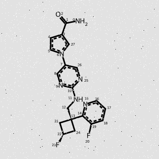 NC(=O)c1ccn(-c2cnc(NC[C@]3(c4ncccc4F)C[C@H](F)C3)nc2)c1